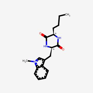 CCCC[C@H]1NC(=O)[C@@H](Cc2cn(C)c3ccccc23)NC1=O